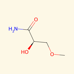 COC[C@@H](O)C(N)=O